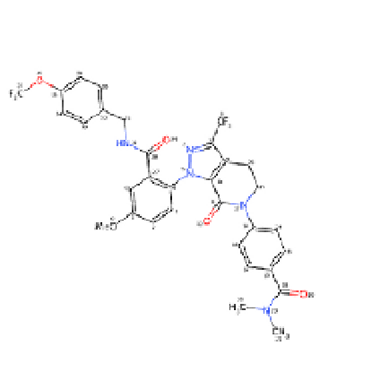 COc1ccc(-n2nc(C(F)(F)F)c3c2C(=O)N(c2ccc(C(=O)N(C)C)cc2)CC3)c(C(=O)NCc2ccc(OC(F)(F)F)cc2)c1